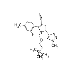 Cc1ccc(-c2c(C#N)cc(-c3cnn(C)c3)n2COCC[Si](C)(C)C)c(F)c1